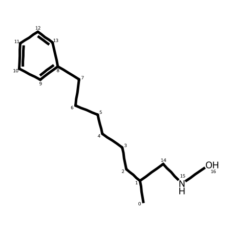 CC(CCCCCCc1ccccc1)CNO